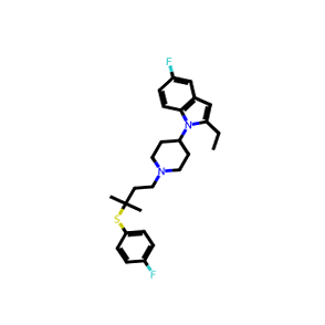 CCc1cc2cc(F)ccc2n1C1CCN(CCC(C)(C)Sc2ccc(F)cc2)CC1